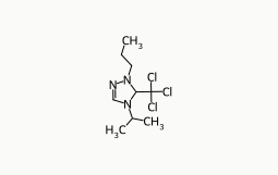 CCCN1N=CN(C(C)C)C1C(Cl)(Cl)Cl